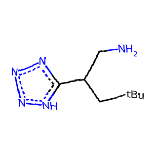 CC(C)(C)CC(CN)c1nnn[nH]1